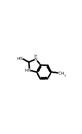 Cc1ccc2c(c1)NC(S)N2